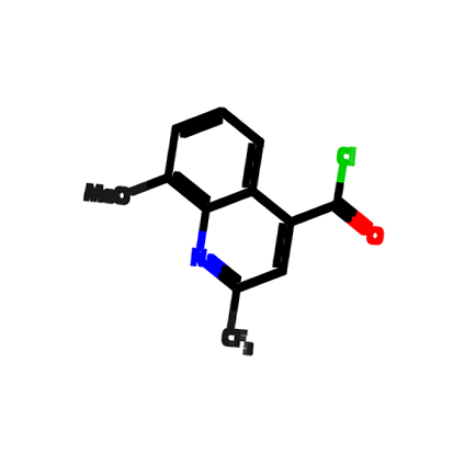 COc1cccc2c(C(=O)Cl)cc(C(F)(F)F)nc12